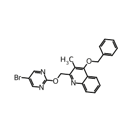 Cc1c(COc2ncc(Br)cn2)nc2ccccc2c1OCc1ccccc1